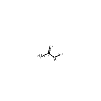 [2H]NC(N)=O